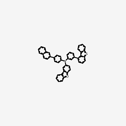 c1cc(-c2cccc3sc4ccccc4c23)cc(N(c2ccc(-c3ccc4ccccc4c3)cc2)c2ccc3oc4ccccc4c3c2)c1